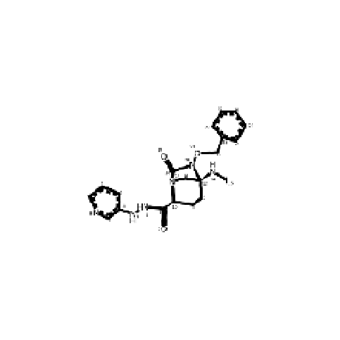 O=C(NNc1cccnc1)[C@@H]1CC[C@]2(NI)CN1C(=O)N2OCc1ccccc1